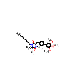 CCCCCCCCN1C(=O)C(Cc2ccc(-c3cc(OC)c(OC)c(OC)c3)cc2)N(C)C(=O)C1(C)C